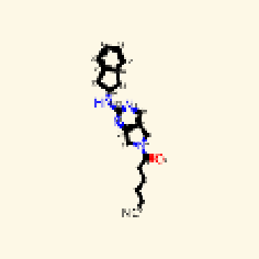 N#CCCCCC(=O)N1Cc2cnc(NC3Cc4ccccc4C3)nc2C1